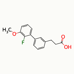 COc1cccc(-c2cccc(CCC(=O)O)c2)c1F